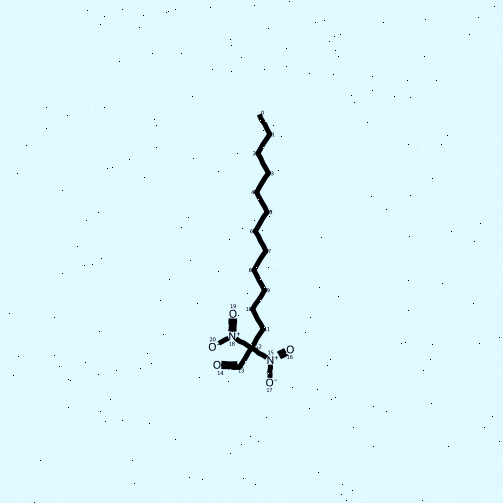 CCCCCCCCCCCCC([C]=O)([N+](=O)[O-])[N+](=O)[O-]